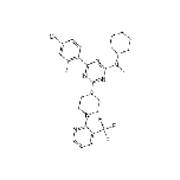 CN(c1nc(-c2ccc(Cl)cc2F)nc(N2CCN(c3ncccc3C(F)(F)F)CC2)n1)C1CCCCC1